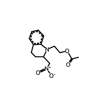 CC(=O)OCCN1c2ccccc2CCC1C[N+](=O)[O-]